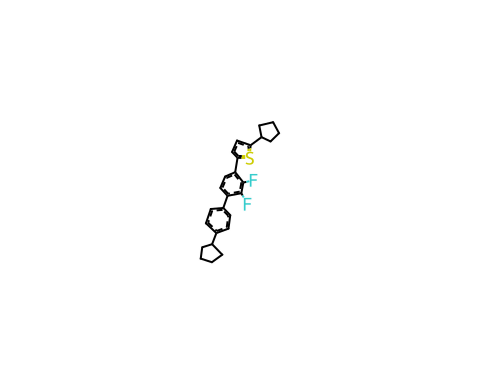 Fc1c(-c2ccc(C3CCCC3)cc2)ccc(-c2ccc(C3CCCC3)s2)c1F